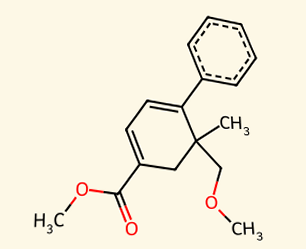 COCC1(C)CC(C(=O)OC)=CC=C1c1ccccc1